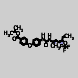 C=C/C(=C\C=C(/C)NC(=O)Nc1ccc(Oc2ccc(C(=O)OC(C)C)cc2)cc1)OC(F)(F)F